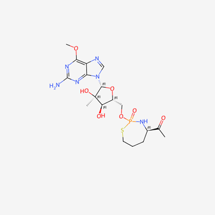 COc1nc(N)nc2c1ncn2[C@@H]1O[C@H](COP2(=O)N[C@@H](C(C)=O)CCCS2)[C@@H](O)[C@@]1(C)O